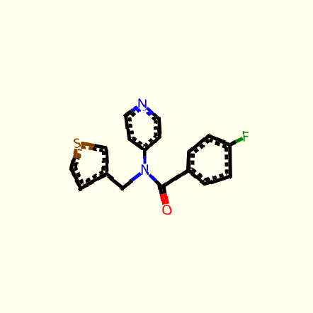 O=C(c1ccc(F)cc1)N(Cc1ccsc1)c1ccncc1